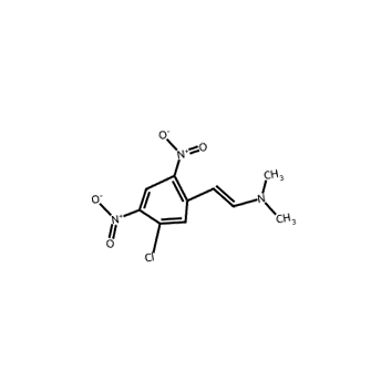 CN(C)C=Cc1cc(Cl)c([N+](=O)[O-])cc1[N+](=O)[O-]